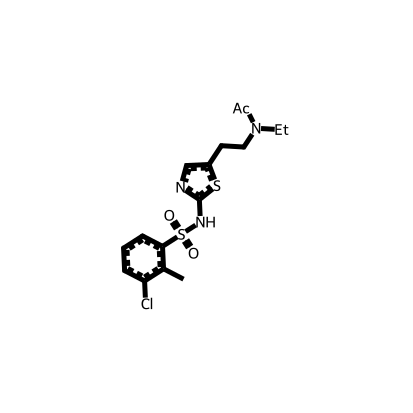 CCN(CCc1cnc(NS(=O)(=O)c2cccc(Cl)c2C)s1)C(C)=O